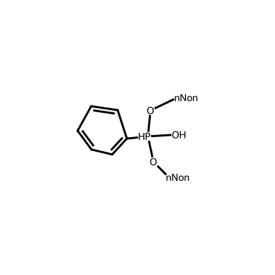 CCCCCCCCCO[PH](O)(OCCCCCCCCC)c1ccccc1